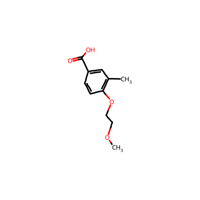 COCCOc1ccc(C(=O)O)cc1C